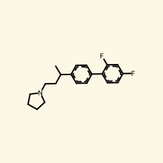 CC(CCN1CCCC1)c1ccc(-c2ccc(F)cc2F)cc1